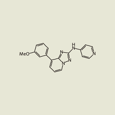 COc1cccc(-c2cccn3nc(Nc4ccncc4)nc23)c1